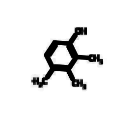 [CH2]c1ccc(O)c(C)c1C